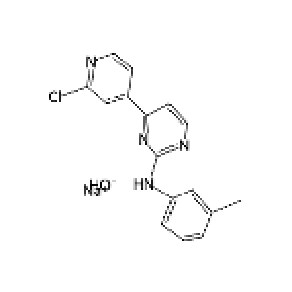 Cc1cccc(Nc2nccc(-c3ccnc(Cl)c3)n2)c1.[Na+].[OH-]